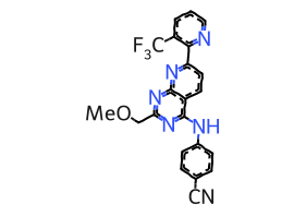 COCc1nc(Nc2ccc(C#N)cc2)c2ccc(-c3ncccc3C(F)(F)F)nc2n1